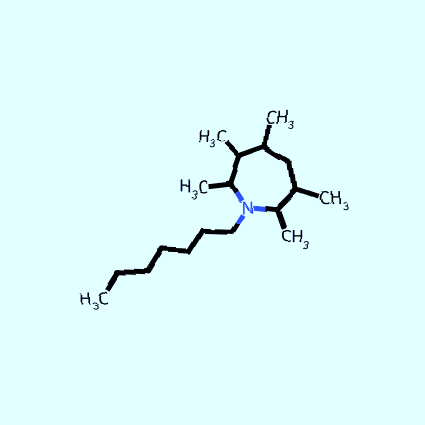 CCCCCCCN1C(C)C(C)CC(C)C(C)C1C